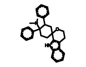 CN(C)C1(c2ccccc2)CCC2(CC1c1ccccc1)OCCc1c2[nH]c2ccccc12